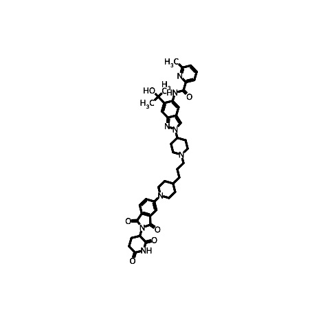 Cc1cccc(C(=O)Nc2cc3cn(C4CCN(CCCC5CCN(c6ccc7c(c6)C(=O)N(C6CCC(=O)NC6=O)C7=O)CC5)CC4)nc3cc2C(C)(C)O)n1